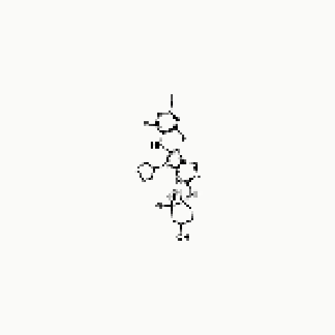 [2H]C1([2H])CC(O)CCC1([2H])Nc1ncc2nc(Nc3c(F)cc(F)cc3F)n(C3CCOC3)c2n1